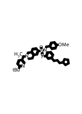 COc1ccc(CN(c2ccc(CCCC3CCCC3)cc2F)S(=O)(=O)c2ccc3c(c2)CCN(C(C)c2ccc(C(C)(C)C)nc2)C3)cc1